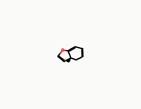 C1=CCC23C=CSC2=COC3=C1